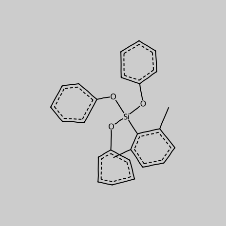 Cc1cccc(C)c1[Si](Oc1ccccc1)(Oc1ccccc1)Oc1ccccc1